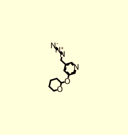 [N-]=[N+]=NCc1cncc(OC2CCCCO2)c1